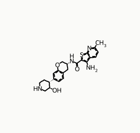 Cc1ccc2c(N)c(C(=O)N[C@H]3COc4cc([C@H]5CCNC[C@@H]5O)ccc4C3)sc2n1